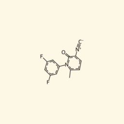 [C-]#[N+]c1ccc(C)n(-c2cc(F)cc(F)c2)c1=O